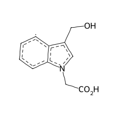 O=C(O)Cn1cc(CO)c2[c]cccc21